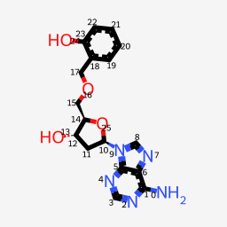 Nc1ncnc2c1ncn2[C@H]1C[C@H](O)[C@@H](COCc2ccccc2O)O1